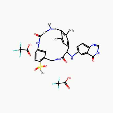 CCN1CC(=O)Nc2ccc(S(=O)(=O)C(C)C)c(c2)CNC(=O)C(Nc2ccc3nc[nH]c(=O)c3c2)c2cc(C)c(c(C)c2)C1.O=C(O)C(F)(F)F.O=C(O)C(F)(F)F